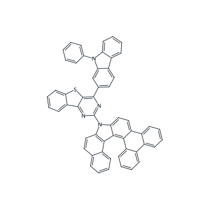 c1ccc(-n2c3ccccc3c3ccc(-c4nc(-n5c6ccc7ccccc7c6c6c7c8ccccc8c8ccccc8c7ccc65)nc5c4sc4ccccc45)cc32)cc1